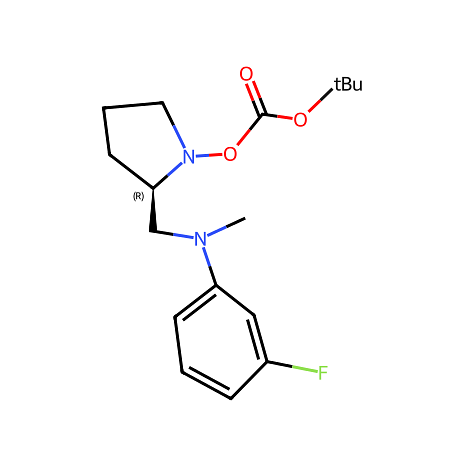 CN(C[C@H]1CCCN1OC(=O)OC(C)(C)C)c1cccc(F)c1